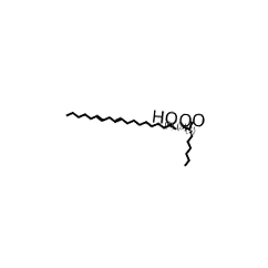 CCCCCC=CCC=CCCCCCCC[C@@H](O)C[C@@H]1OC(=O)[C@H]1CCCCCC